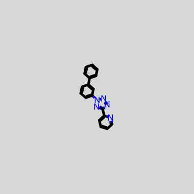 c1ccc(-c2cccc(-n3nnc(-c4ccccn4)n3)c2)cc1